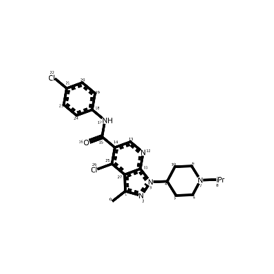 Cc1nn(C2CCN(C(C)C)CC2)c2ncc(C(=O)Nc3ccc(Cl)cc3)c(Cl)c12